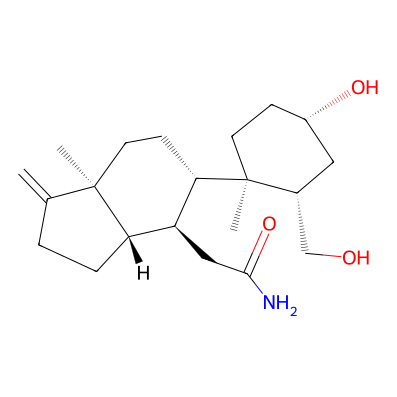 C=C1CC[C@H]2[C@H](CC(N)=O)[C@@H]([C@@]3(C)CC[C@H](O)C[C@@H]3CO)CC[C@]12C